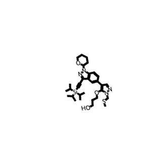 CSCn1ncc(-c2ccc3c(c2)c(C#C[Si](C(C)C)(C(C)C)C(C)C)nn3C2CCCCO2)c1OCCCO